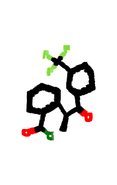 C=C(C(=O)c1cccc(C(F)(F)F)c1)c1ccccc1C(=O)Cl